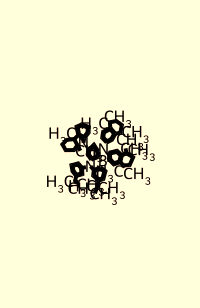 CC(C)(C)c1cccc(N2c3cc(C(C)(C)C)ccc3B3c4cc5c(cc4N(c4ccc6c(c4)C(C)(C)CCC6(C)C)c4cc(N6c7ccccc7C7(C)CCCCC67C)cc2c43)C(C)(C)CCC5(C)C)c1